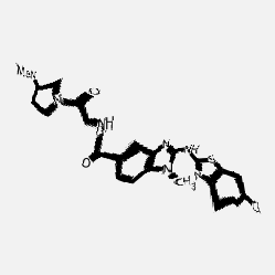 CNC1CCN(C(=O)CNC(=O)c2ccc3c(c2)nc(Nc2nc4ccc(Cl)cc4s2)n3C)C1